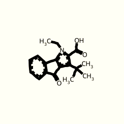 CCn1c(C(=O)O)c(C(C)(C)C)c2c1-c1ccccc1C2=O